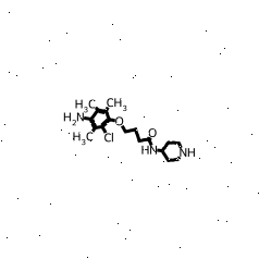 Cc1c(C)c(OCCCC(=O)NC2CCNCC2)c(Cl)c(C)c1N